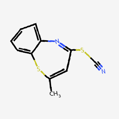 CC1=CC(SC#N)=Nc2ccccc2S1